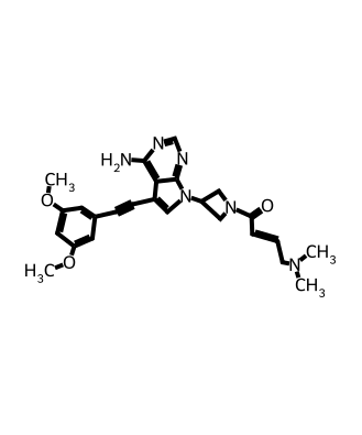 COc1cc(C#Cc2cn(C3CN(C(=O)C=CCN(C)C)C3)c3ncnc(N)c23)cc(OC)c1